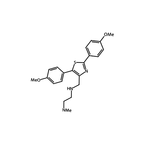 CNCCNCc1nc(-c2ccc(OC)cc2)sc1-c1ccc(OC)cc1